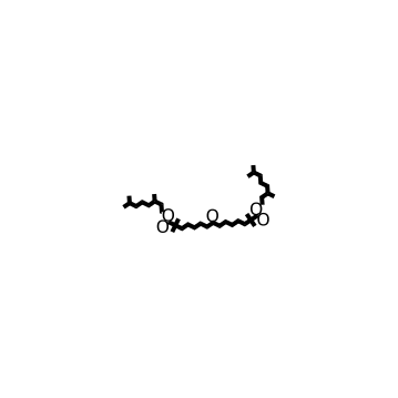 CC(C)CCCC(C)CCOC(=O)C(C)(C)CCCCCC(=O)CCCCCC(C)(C)C(=O)OCCC(C)CCCC(C)C